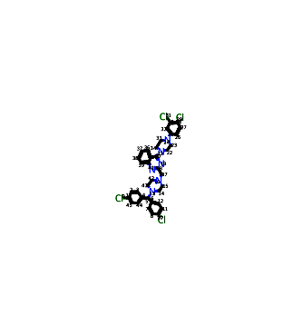 Clc1ccc(C(c2ccc(Cl)cc2)N2CCN(Cc3nc(N4CCN(c5ccc(Cl)c(Cl)c5)CC4)c4ccccc4n3)CC2)cc1